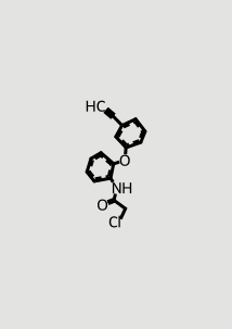 C#Cc1cccc(Oc2ccccc2NC(=O)CCl)c1